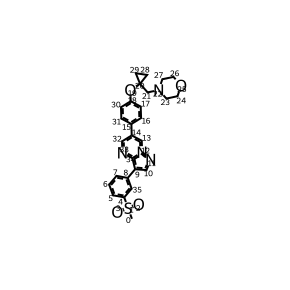 CS(=O)(=O)c1cccc(-c2cnn3cc(-c4ccc(OC5(CN6CCOCC6)CC5)cc4)cnc23)c1